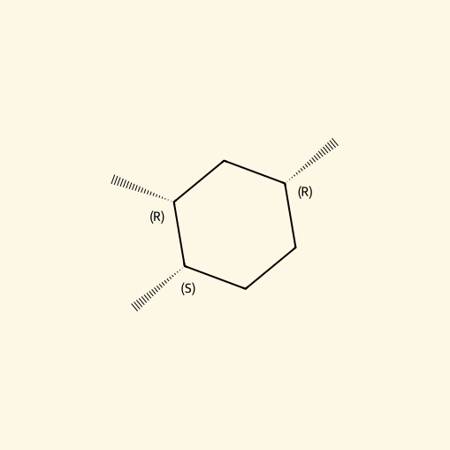 C[C@@H]1CC[C@H](C)[C@H](C)C1